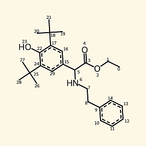 CCOC(=O)C(NCCc1ccccc1)c1cc(C(C)(C)C)c(O)c(C(C)(C)C)c1